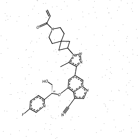 C=CC(=O)N1CCC2(CC1)CC(n1nnc(-c3cc(O[C@@H](CO)c4ccc(F)cn4)c4c(C#N)cnn4c3)c1C)C2